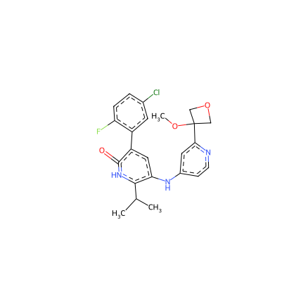 COC1(c2cc(Nc3cc(-c4cc(Cl)ccc4F)c(=O)[nH]c3C(C)C)ccn2)COC1